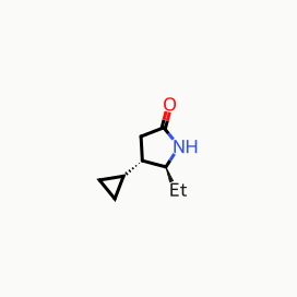 CC[C@@H]1NC(=O)C[C@H]1C1CC1